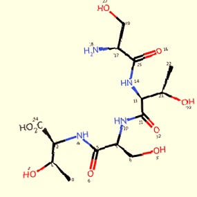 C[C@@H](O)[C@H](NC(=O)[C@H](CO)NC(=O)[C@@H](NC(=O)[C@@H](N)CO)[C@@H](C)O)C(=O)O